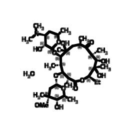 CC[C@H]1OC(=O)[C@H](C)[C@@H](O[C@H]2C[C@@](C)(OC)[C@@H](O)[C@H](C)O2)[C@H](C)[C@@H](O[C@@H]2O[C@H](C)C[C@H](N(C)C)[C@H]2O)[C@](C)(O)C[C@@H](C)C(=O)[C@H](C)[C@@H](O)[C@]1(C)O.O